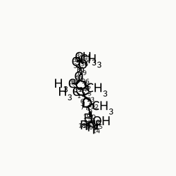 CCC(CC)(c1ccc(C#CC(O)(C(F)(F)F)C(F)(F)F)c(C)c1)c1ccc(OC[C@@H]2COC(C)(C)O2)c(C)c1